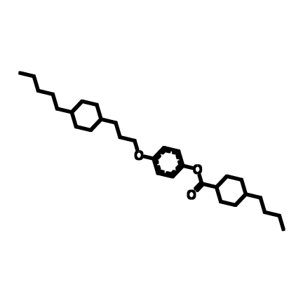 CCCCCC1CCC(CCCOc2ccc(OC(=O)C3CCC(CCCC)CC3)cc2)CC1